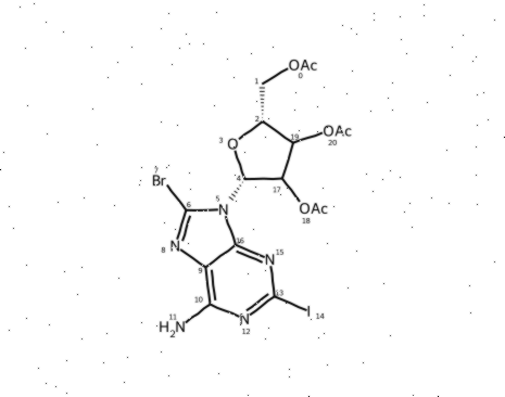 CC(=O)OC[C@H]1O[C@@H](n2c(Br)nc3c(N)nc(I)nc32)C(OC(C)=O)C1OC(C)=O